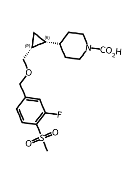 CS(=O)(=O)c1ccc(COC[C@@H]2C[C@@H]2C2CCN(C(=O)O)CC2)cc1F